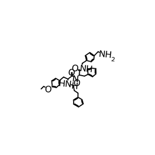 CCOc1ccc(CC(NC(=O)CCc2ccccc2)C(=O)NC(Cc2ccccc2)C(=O)NCc2ccc(CN)cc2)cc1